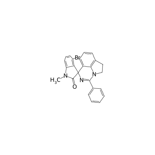 CN1C(=O)C2(N=C(c3ccccc3)N3CCc4cccc2c43)c2c(Br)cccc21